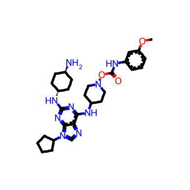 COc1cccc(NC(=O)ON2CCC(Nc3nc(N[C@H]4CC[C@H](N)CC4)nc4c3ncn4C3CCCC3)CC2)c1